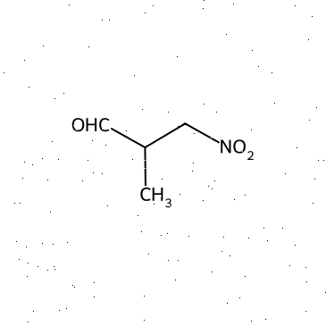 CC(C=O)C[N+](=O)[O-]